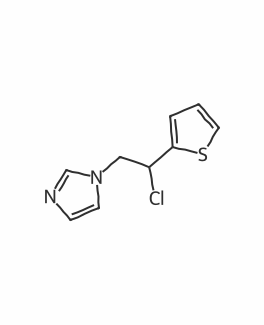 ClC(Cn1ccnc1)c1cccs1